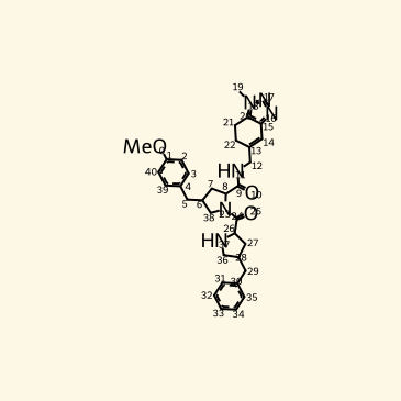 COc1ccc(CC2CC(C(=O)NCC3=Cc4nnn(C)c4CC3)N(C(=O)C3CC(Cc4ccccc4)CN3)C2)cc1